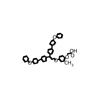 Cc1cc(OCC=C(c2ccc(-c3ccc(Oc4ccccc4)cc3)cc2)c2ccc(-c3ccc(Oc4ccccc4)cc3)cc2)ccc1OCC(=O)O